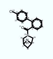 O=C(c1ccccc1-c1ccc(Cl)cc1)N1CC2CC(C1)N2